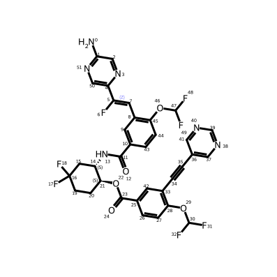 Nc1cnc(/C(F)=C/c2cc(C(=O)N[C@H]3CC(F)(F)CC[C@@H]3OC(=O)c3ccc(OC(F)F)c(C#Cc4cncnc4)c3)ccc2OC(F)F)cn1